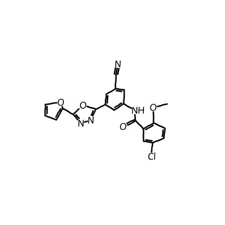 COc1ccc(Cl)cc1C(=O)Nc1cc(C#N)cc(-c2nnc(-c3ccco3)o2)c1